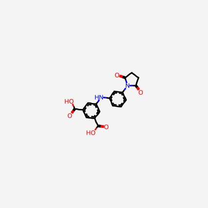 O=C(O)c1cc(Nc2cccc(N3C(=O)CCC3=O)c2)cc(C(=O)O)c1